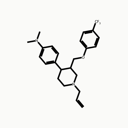 C=CCN1CCC(c2ccc(N(C)C)cc2)C(COc2ccc(C(F)(F)F)cc2)C1